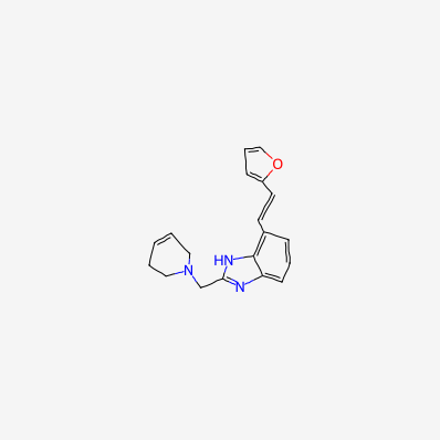 C1=CCN(Cc2nc3cccc(C=Cc4ccco4)c3[nH]2)CC1